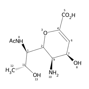 CC(=O)N[C@@H](C1OC(C(=O)O)=C[C@@H](O)[C@H]1N)[C@@H](C)O